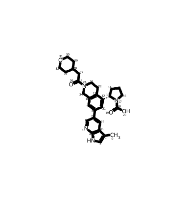 Cc1c[nH]c2ncc(-c3cc4c(c([C@@H]5CCCN5C(=O)O)c3)CCN(C(=O)CC3CCOCC3)C4)cc12